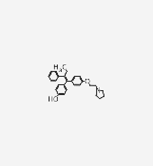 CCC(=C(c1ccc(O)cc1)c1ccc(OCCN2CCCC2)cc1)c1ccccc1